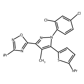 CCCc1ccc(-c2c(C)c(-c3nc(C(C)C)no3)nn2-c2ccc(Cl)cc2Cl)s1